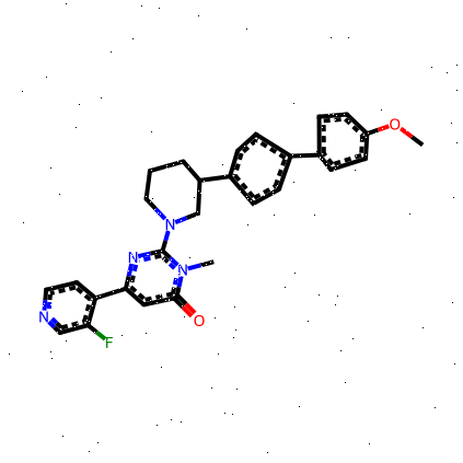 COc1ccc(-c2ccc(C3CCCN(c4nc(-c5ccncc5F)cc(=O)n4C)C3)cc2)cc1